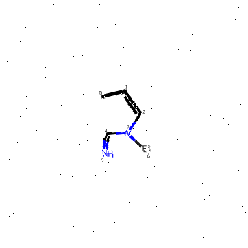 C/C=C\N(C=N)CC